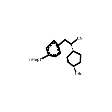 CCCCCCCc1ccc(CC(C#N)[C@H]2CC[C@H](CCCC)CC2)cc1